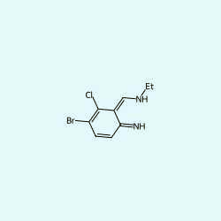 CCN/C=C1\C(=N)C=CC(Br)=C1Cl